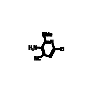 CNc1nc(Cl)cc(C#N)c1N